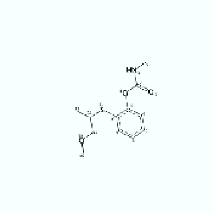 CNC(=O)Oc1ccccc1SC(C)COC